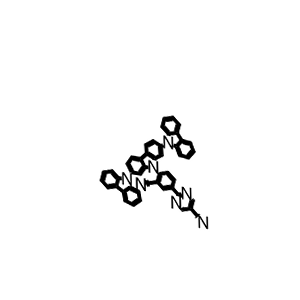 N#Cc1cnc(-c2ccc(-n3c4cc(-n5c6ccccc6c6ccccc65)ccc4c4ccc(-n5c6ccccc6c6ccccc65)cc43)c(C#N)c2)nc1